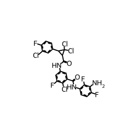 Nc1c(F)ccc(NC(=O)c2cc(NC(=O)C3C(c4ccc(F)c(Cl)c4)C3(Cl)Cl)cc(F)c2Cl)c1F